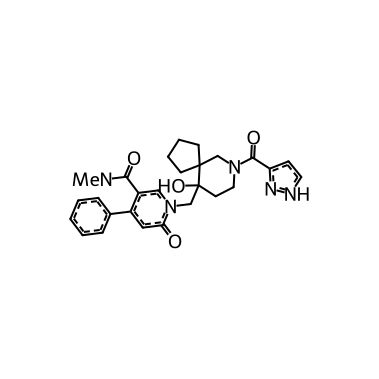 CNC(=O)c1cn(CC2(O)CCN(C(=O)c3cc[nH]n3)CC23CCCC3)c(=O)cc1-c1ccccc1